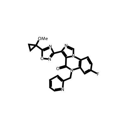 COC1(c2nc(-c3ncn4c3c(=O)n(Cc3ccccn3)c3cc(F)ccc34)no2)CC1